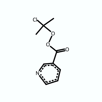 CC(C)(Cl)OOC(=O)c1cccnc1